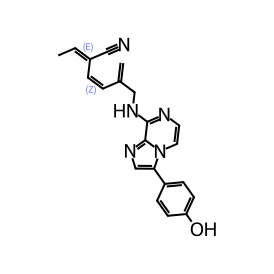 C=C(/C=C\C(C#N)=C/C)CNc1nccn2c(-c3ccc(O)cc3)cnc12